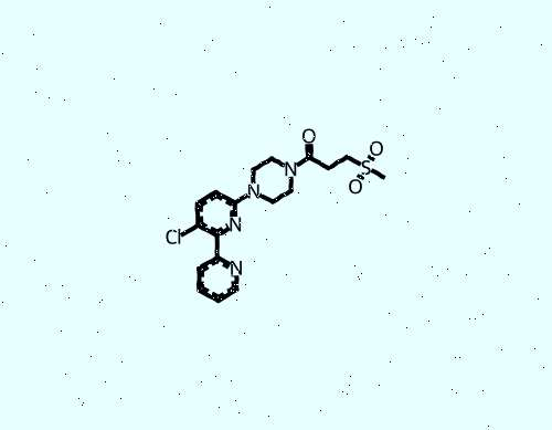 CS(=O)(=O)CCC(=O)N1CCN(c2ccc(Cl)c(-c3ccccn3)n2)CC1